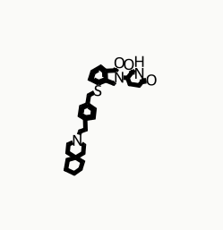 O=C1CCC(N2Cc3c(SCc4ccc(CCN5CCC6(CCCCC6)CC5)cc4)cccc3C2=O)C(=O)N1